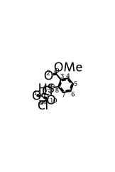 COC(=O)c1ccccc1S.O=S(=O)(Cl)Cl